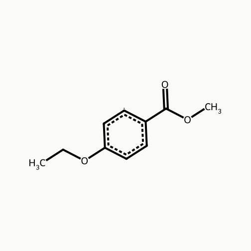 CCOc1c[c]c(C(=O)OC)cc1